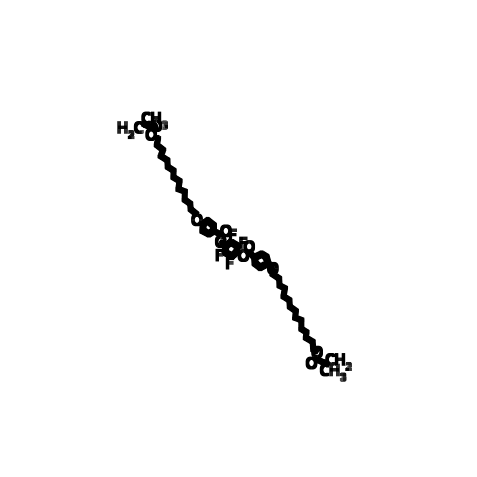 C=C(C)C(=O)OCCCCCCCCCCCCCCCOc1ccc(C(=O)Oc2c(F)c(F)c(OC(=O)c3ccc(OCCCCCCCCCCCCCCCOC(=O)C(=C)C)cc3)c(F)c2F)cc1